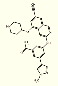 C#Cc1cc(OC2CCNCC2)c2nc(Nc3cc(C(N)=O)cc(-c4cnn(C)c4)c3)ncc2c1